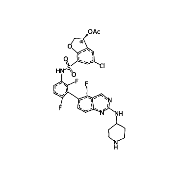 CC(=O)O[C@@H]1COc2c1cc(Cl)cc2S(=O)(=O)Nc1ccc(F)c(-c2ccc3nc(NC4CCNCC4)ncc3c2F)c1F